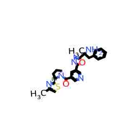 Cc1csc([C@H]2CCCN2C(=O)c2cncc(-c3nnc([C@@](C)(N)Cc4ccccc4)o3)c2)n1